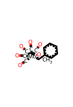 C[O][Mo](=[C]=O)(=[C]=O)(=[C]=O)(=[C]=O)(=[C]=O)=[CH]c1ccccc1